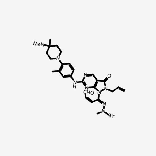 C=CCn1c(=O)c2cnc(Nc3ccc(N4CCC(C)(NC)CC4)c(C)c3)nc2n1C(/C=C\C=O)=N/N(C)C(C)C